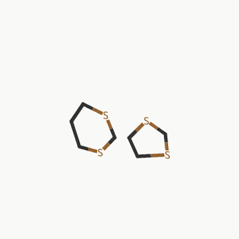 C1CSCS1.C1CSCSC1